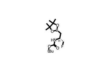 CC(C)(C)OC(=O)N[C@@H](CF)CB1OC(C)(C)C(C)(C)O1